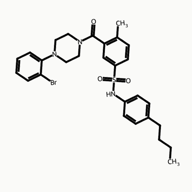 CCCCc1ccc(NS(=O)(=O)c2ccc(C)c(C(=O)N3CCN(c4ccccc4Br)CC3)c2)cc1